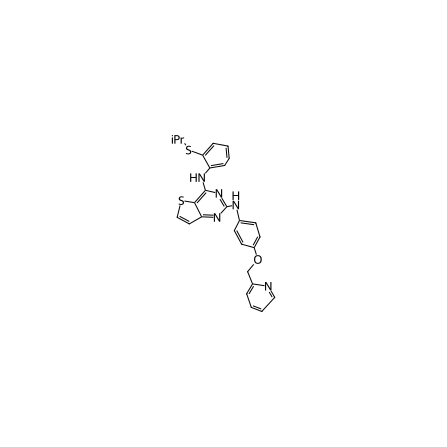 CC(C)Sc1ccccc1Nc1nc(Nc2ccc(OCc3ccccn3)cc2)nc2ccsc12